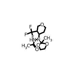 CC(=O)NN(C1CCOCC1C(F)(F)F)C1(C)OCCO1